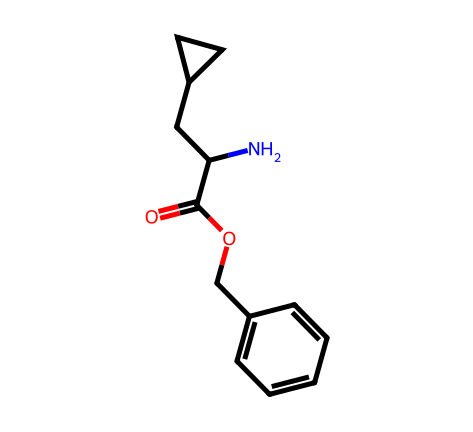 NC(CC1CC1)C(=O)OCc1ccccc1